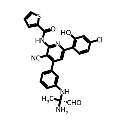 C[C@@](N)(C=O)Nc1cccc(-c2cc(-c3ccc(Cl)cc3O)nc(NC(=O)c3cccs3)c2C#N)c1